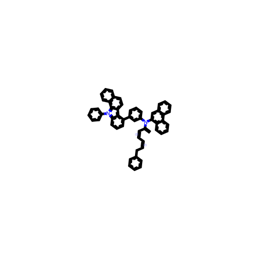 C=C(/C=C\C=C/Cc1ccccc1)N(c1cccc(-c2cccc3c2c2ccc4ccccc4c2n3-c2ccccc2)c1)c1cc2ccccc2c2ccccc12